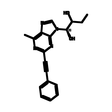 CCC(O)[C@@H](O)n1cnc2c(C)nc(C#Cc3ccccc3)nc21